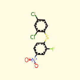 O=[N+]([O-])c1ccc(Sc2ccc(Cl)cc2Cl)c(F)c1